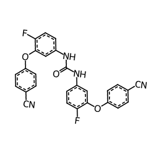 N#Cc1ccc(Oc2cc(NC(=O)Nc3ccc(F)c(Oc4ccc(C#N)cc4)c3)ccc2F)cc1